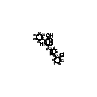 O=C(Cc1csc(-c2ccccc2Cl)n1)N[C@@H](C(=O)O)c1ccccc1